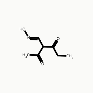 CCC(=O)C(C=NO)C(C)=O